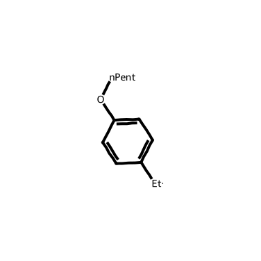 C[CH]c1ccc(OCCCCC)cc1